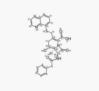 O=C(Cc1ccccc1)N[C@@H]1C(=O)N2C(C(=O)O)=C(CSc3cccc4cccnc34)C[S+]([O-])[C@H]12